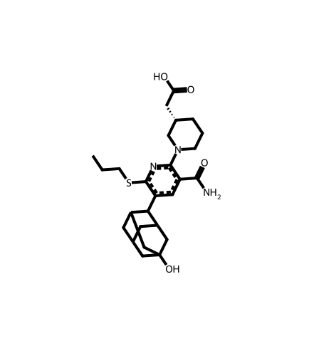 CCCSc1nc(N2CCC[C@@H](CC(=O)O)C2)c(C(N)=O)cc1C1C2CC3CC1CC(O)(C3)C2